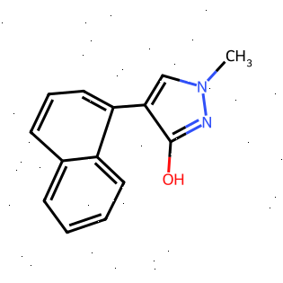 Cn1cc(-c2cccc3ccccc23)c(O)n1